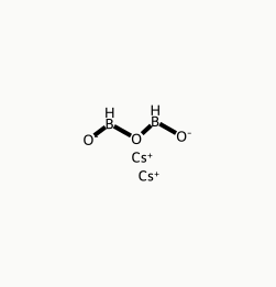 [Cs+].[Cs+].[O-]BOB[O-]